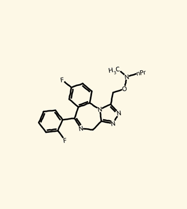 CCCN(C)OCc1nnc2n1-c1ccc(F)cc1C(c1ccccc1F)=NC2